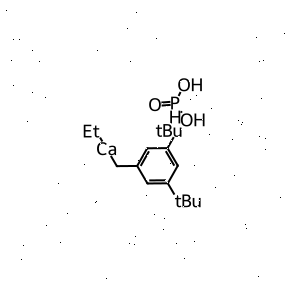 C[CH2][Ca][CH2]c1cc(C(C)(C)C)cc(C(C)(C)C)c1.O=[PH](O)O